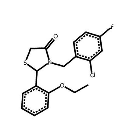 CCOc1ccccc1C1SCC(=O)N1Cc1ccc(F)cc1Cl